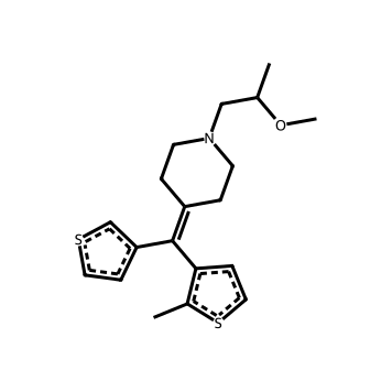 COC(C)CN1CCC(=C(c2ccsc2)c2ccsc2C)CC1